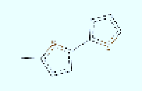 Cc1ccc(-c2cccs2)s1